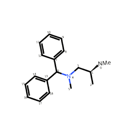 CN[C@@H](C)CN(C)C(c1ccccc1)c1ccccc1